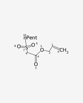 C=CCOC(=O)CS(=O)(=O)CCCCC